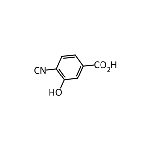 [C-]#[N+]c1ccc(C(=O)O)cc1O